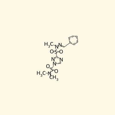 CN(/N=C/c1ccccc1)S(=O)(=O)c1ncn(S(=O)(=O)N(C)C)n1